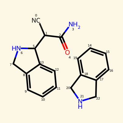 N#CC(C(N)=O)C1NCc2ccccc21.c1ccc2c(c1)CNC2